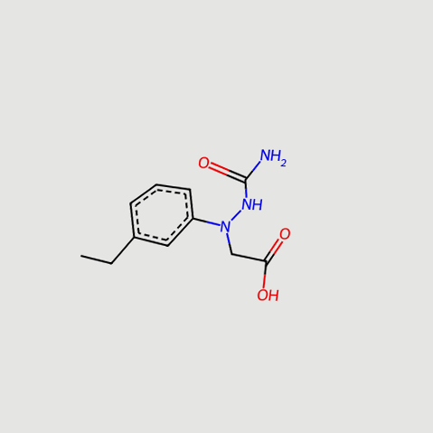 CCc1cccc(N(CC(=O)O)NC(N)=O)c1